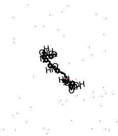 COc1cccc(Nc2c(C(N)=O)cnc3c(C)cc(Cc4cccc(C(=O)Nc5ccc(C#CCCCNC[C@H](O[Si](C)(C)C(C)(C)C)c6ccc(O)c7[nH]c(=O)ccc67)cc5C)c4)cc23)c1